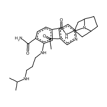 CC(=O)c1ccc(N2C3CCC2CC(NC(=O)c2ccc(C(N)=O)c(NCCCNC(C)C)c2)C3)nc1